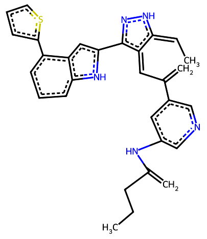 C=C(CCC)Nc1cncc(C(=C)/C=c2/c(-c3cc4c(-c5cccs5)cccc4[nH]3)n[nH]/c2=C/C)c1